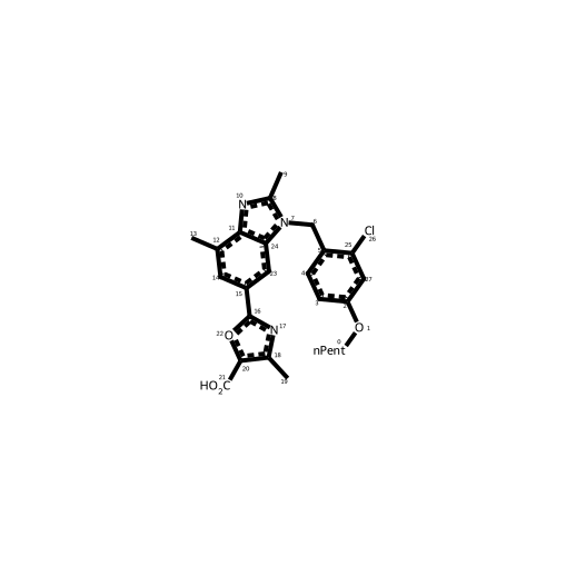 CCCCCOc1ccc(Cn2c(C)nc3c(C)cc(-c4nc(C)c(C(=O)O)o4)cc32)c(Cl)c1